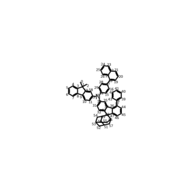 CC1(C)c2ccccc2-c2ccc(N(c3ccc(-c4cccc5ccccc45)cc3)c3ccc4c(c3)-c3c(-c5ccccc5)cccc3C43C4CC5CC(C4)CC3C5)cc21